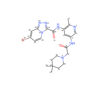 Cc1ncc(NC(=O)CN2CCC(C)(C)CC2)cc1NC(=O)c1nnc2cc(Br)ccn12